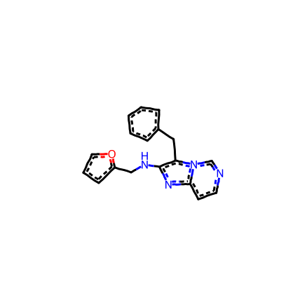 c1ccc(Cc2c(NCc3ccco3)nc3ccncn23)cc1